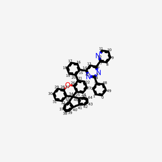 c1ccc(-c2nc(-c3ccccn3)cc(-c3ccccc3-c3cccc4c3Oc3ccccc3C43c4ccccc4-c4ccccc43)n2)cc1